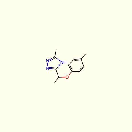 Cc1ccc(OC(C)c2nnc(C)[nH]2)cc1